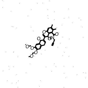 C#CCNC(=O)c1c(C)c(C)cc2occ(C3=CCc4cc(OCOC)c(OCOC)cc4C3=O)c(=O)c12